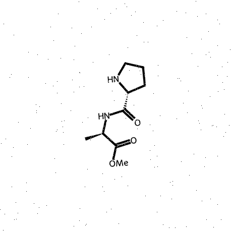 COC(=O)[C@@H](C)NC(=O)[C@H]1CCCN1